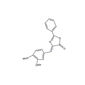 COc1ccc(/C=C2\N=C(c3ccccc3)OC2=O)cc1OC